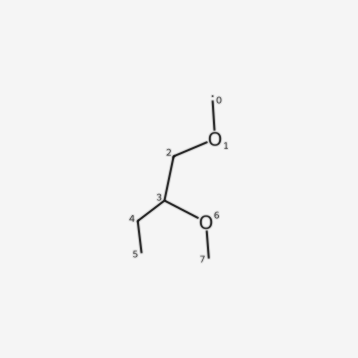 [CH2]OCC(CC)OC